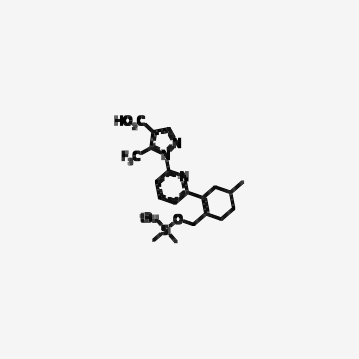 CC1CCC(CO[Si](C)(C)C(C)(C)C)=C(c2cccc(-n3ncc(C(=O)O)c3C(F)(F)F)n2)C1